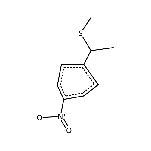 CSC(C)c1ccc([N+](=O)[O-])cc1